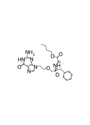 CCCCOC(=O)[C@H](C)NP(=O)(COCCn1cnc2c(=O)[nH]c(N)nc21)Cc1ccccc1